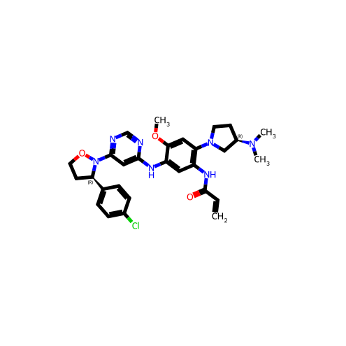 C=CC(=O)Nc1cc(Nc2cc(N3OCC[C@@H]3c3ccc(Cl)cc3)ncn2)c(OC)cc1N1CC[C@@H](N(C)C)C1